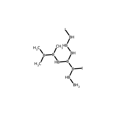 BBB(I)B(BBBI)BB(C)B(C)C